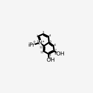 CC(C)[n+]1cccc2cc(O)c(O)cc21